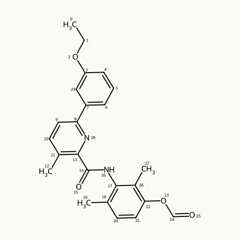 CCOc1cccc(-c2ccc(C)c(C(=O)Nc3c(C)ccc(OC=O)c3C)n2)c1